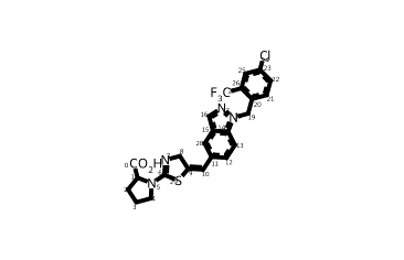 O=C(O)C1CCCN1C1=NCC(=Cc2ccc3c(cnn3Cc3ccc(Cl)cc3C(F)(F)F)c2)S1